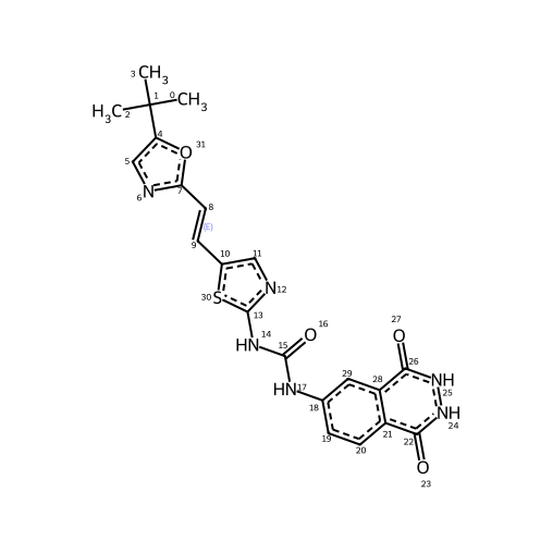 CC(C)(C)c1cnc(/C=C/c2cnc(NC(=O)Nc3ccc4c(=O)[nH][nH]c(=O)c4c3)s2)o1